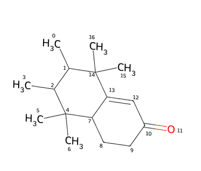 CC1C(C)C(C)(C)C2CCC(=O)C=C2C1(C)C